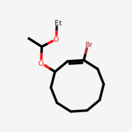 CCOC(C)OC1/C=C(/Br)CCCCCCC1